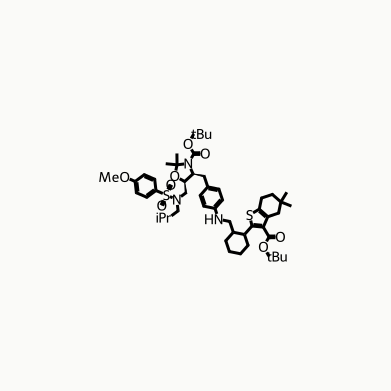 COc1ccc(S(=O)(=O)N(CC(C)C)C[C@H]2OC(C)(C)N(C(=O)OC(C)(C)C)[C@H]2Cc2ccc(NCC3CCCCC3c3sc4c(c3C(=O)OC(C)(C)C)CC(C)(C)CC4)cc2)cc1